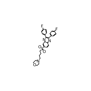 O=S(=O)(CCCCN1CCOCC1)c1ccc2nc(-c3ccc(F)cc3)c(-c3ccc(F)cc3)nc2c1